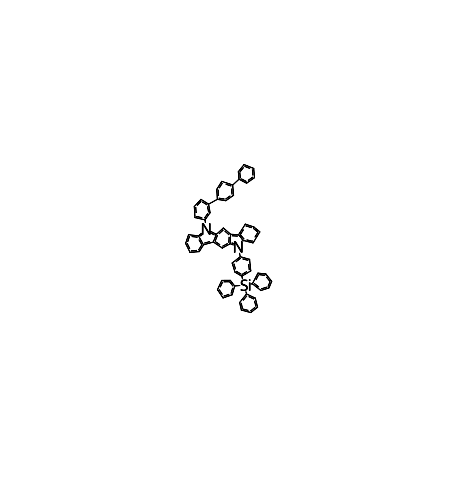 c1ccc(-c2ccc(-c3cccc(-n4c5ccccc5c5cc6c(cc54)c4ccccc4n6-c4ccc([Si](c5ccccc5)(c5ccccc5)c5ccccc5)cc4)c3)cc2)cc1